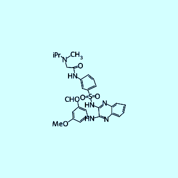 COc1cc(C=O)cc(Nc2nc3ccccc3nc2NS(=O)(=O)c2cccc(NC(=O)CN(C)C(C)C)c2)c1